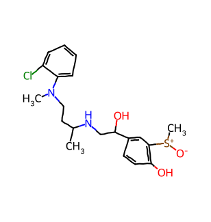 CC(CCN(C)c1ccccc1Cl)NCC(O)c1ccc(O)c([S+](C)[O-])c1